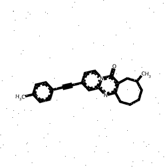 Cc1ccc(C#Cc2ccn3c(=O)c4c(nc3c2)CCCCC(C)C4)cc1